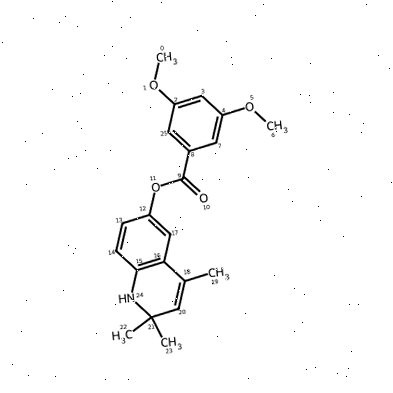 COc1cc(OC)cc(C(=O)Oc2ccc3c(c2)C(C)=CC(C)(C)N3)c1